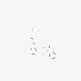 CCn1c(C(=O)N[C@H]2CC[C@H](O)CC2)nc2c(N3CCC4(CC3)C(=O)Nc3ccccc34)ncnc21